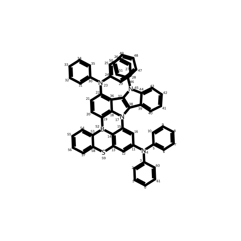 c1ccc(N(c2ccccc2)c2cc3c4c(c2)-n2c5c(ccc(N(c6ccccc6)c6ccccc6)c5c5c2c2ccccc2n5-c2ccccc2)B4c2ccccc2S3)cc1